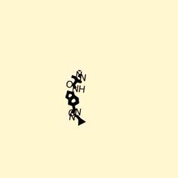 Cc1c(C(=O)N[C@@H]2CCc3cc(-c4nc(C5CC5)no4)ccc32)cnn1C